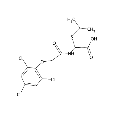 CC(C)SC(NC(=O)COc1c(Cl)cc(Cl)cc1Cl)C(=O)O